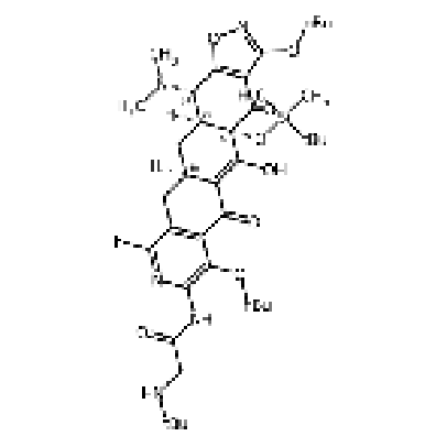 CCCCOc1noc2c1C(=O)[C@@]1(O[Si](C)(C)C(C)(C)C)C(O)=C3C(=O)c4c(c(F)nc(NC(=O)CNC(C)(C)C)c4OCCCC)C[C@H]3C[C@H]1[C@@H]2N(C)C